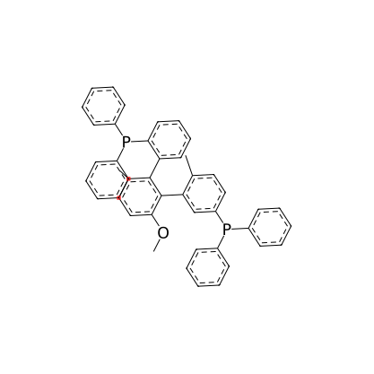 COc1ccc(C)c(-c2ccccc2P(c2ccccc2)c2ccccc2)c1-c1cc(P(c2ccccc2)c2ccccc2)ccc1C